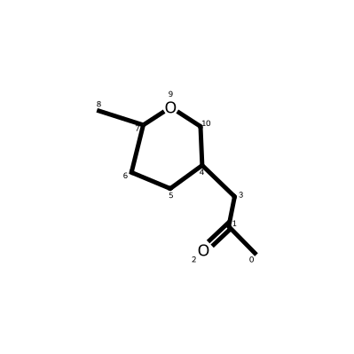 CC(=O)CC1CCC(C)OC1